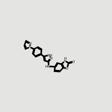 O=c1[nH]c2cc(Nc3cc(-c4ccc(-n5cccn5)cc4)[nH]n3)ccc2o1